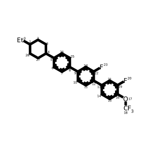 CCC1CCC(c2ccc(-c3ccc(-c4ccc(OC(F)(F)F)c(F)c4)c(F)c3)cc2)CC1